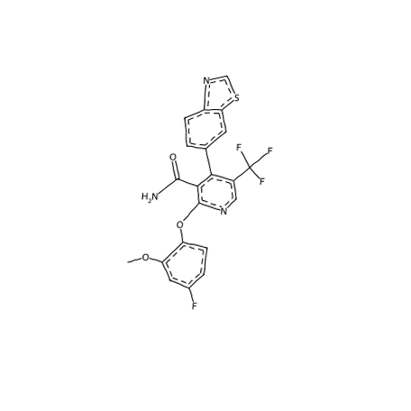 COc1cc(F)ccc1Oc1ncc(C(F)(F)F)c(-c2ccc3ncsc3c2)c1C(N)=O